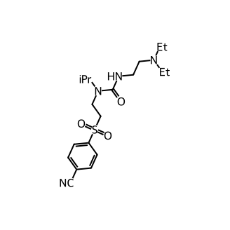 CCN(CC)CCNC(=O)N(CCS(=O)(=O)c1ccc(C#N)cc1)C(C)C